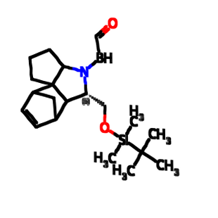 CC(C)(C)[Si](C)(C)OC[C@@H]1C2C3C=CC(C3)C23CCCC3N1BC=O